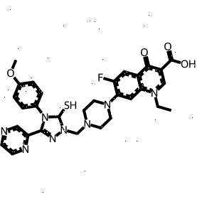 CCn1cc(C(=O)O)c(=O)c2cc(F)c(N3CCN(CN4N=C(c5cnccn5)N(c5ccc(OC)cc5)C4S)CC3)cc21